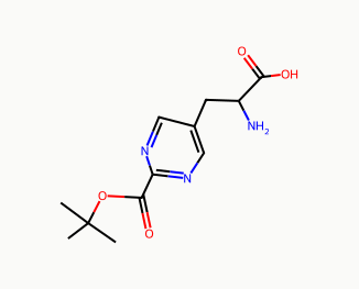 CC(C)(C)OC(=O)c1ncc(CC(N)C(=O)O)cn1